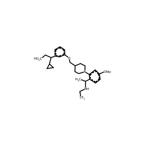 COc1ccc(C(C)NCC(F)(F)F)c(N2CCC(COc3cccc(C(CC(=O)O)C4CC4)c3)CC2)c1